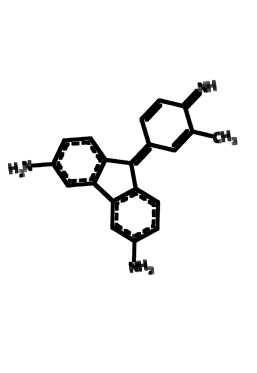 CC1=CC(=C2c3ccc(N)cc3-c3cc(N)ccc32)C=CC1=N